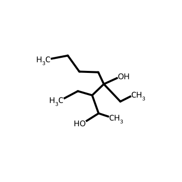 CCCCC(O)(CC)C(CC)C(C)O